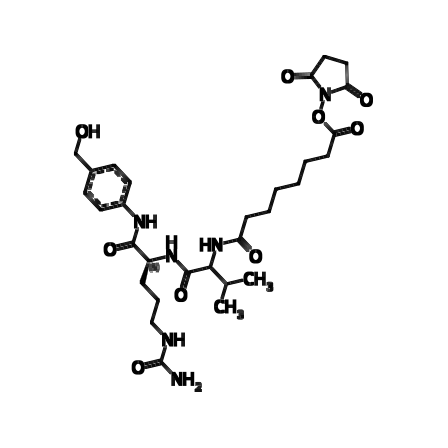 CC(C)C(NC(=O)CCCCCCC(=O)ON1C(=O)CCC1=O)C(=O)N[C@@H](CCCNC(N)=O)C(=O)Nc1ccc(CO)cc1